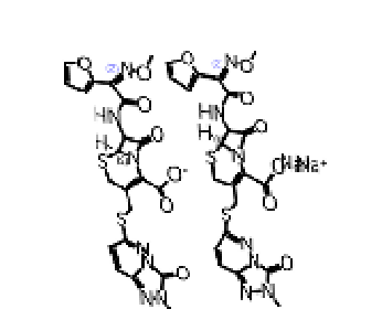 CO/N=C(\C(=O)NC1C(=O)N2C(C(=O)[O-])=C(CSc3ccc4nn(C)c(=O)n4n3)CS[C@@H]12)c1ccco1.CO/N=C(\C(=O)NC1C(=O)N2C(C(=O)[O-])=C(CSc3ccc4nn(C)c(=O)n4n3)CS[C@@H]12)c1ccco1.[Na+].[Na+]